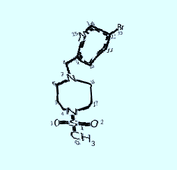 CS(=O)(=O)N1CCN(Cc2ccc(Br)cn2)CC1